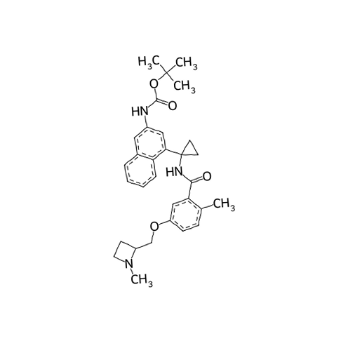 Cc1ccc(OCC2CCN2C)cc1C(=O)NC1(c2cc(NC(=O)OC(C)(C)C)cc3ccccc23)CC1